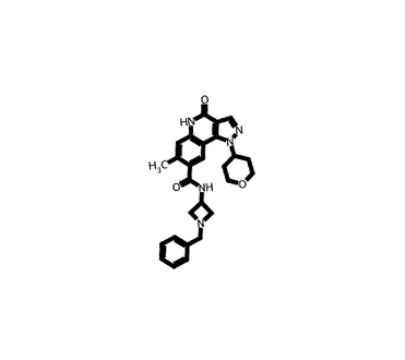 Cc1cc2[nH]c(=O)c3cnn(C4CCOCC4)c3c2cc1C(=O)NC1CN(Cc2ccccc2)C1